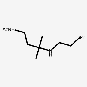 CC(=O)NCCC(C)(C)NCCC(C)C